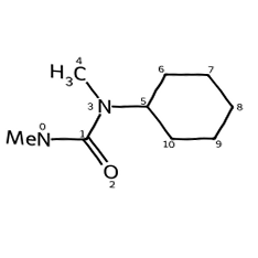 CNC(=O)N(C)C1CCCCC1